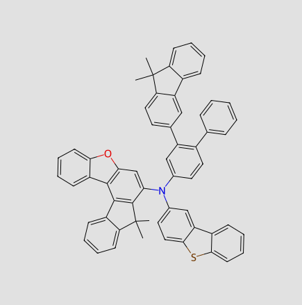 CC1(C)c2ccccc2-c2cc(-c3cc(N(c4ccc5sc6ccccc6c5c4)c4cc5oc6ccccc6c5c5c4C(C)(C)c4ccccc4-5)ccc3-c3ccccc3)ccc21